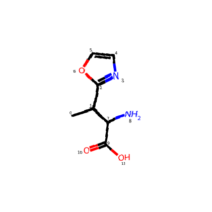 CC(c1ncco1)C(N)C(=O)O